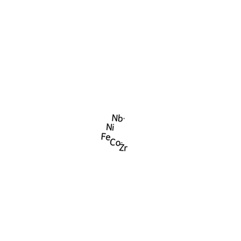 [Co].[Fe].[Nb].[Ni].[Zr]